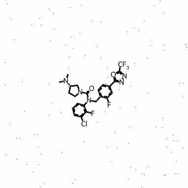 CN(C)[C@@H]1CCN(C(=O)N(Cc2ccc(-c3nnc(C(F)(F)F)o3)cc2F)c2cccc(Cl)c2F)C1